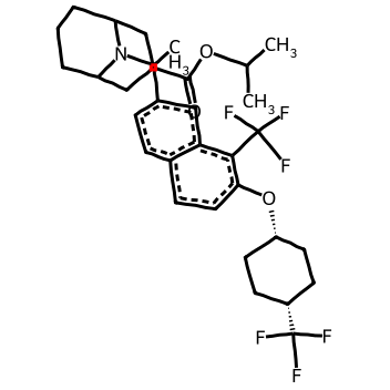 CC(C)OC(=O)C1CC2CCCC(C1)N2C(C)c1ccc2ccc(O[C@H]3CC[C@@H](C(F)(F)F)CC3)c(C(F)(F)F)c2c1